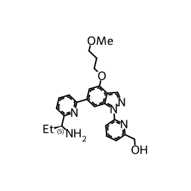 CC[C@H](N)c1cccc(-c2cc(OCCCOC)c3cnn(-c4cccc(CO)n4)c3c2)n1